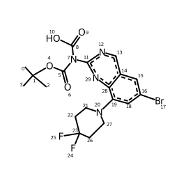 CC(C)(C)OC(=O)N(C(=O)O)c1ncc2cc(Br)cc(N3CCC(F)(F)CC3)c2n1